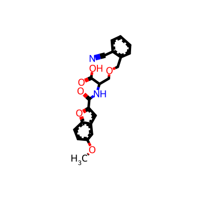 COc1ccc2oc(C(=O)NC(COCc3ccccc3C#N)C(=O)O)cc2c1